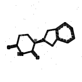 O=C1CC[C@@H](N2Cc3ccccc3C2)C(=O)N1